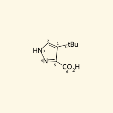 CC(C)(C)c1c[nH]nc1C(=O)O